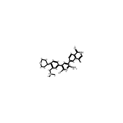 Cc1c[nH]c(=O)c2ccc(-c3cc(-c4ccc(C5CCOCC5)c(CN(C)C)c4)c(F)nc3N)cc12